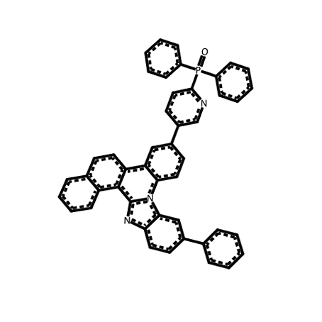 O=P(c1ccccc1)(c1ccccc1)c1ccc(-c2ccc3c(c2)c2ccc4ccccc4c2c2nc4ccc(-c5ccccc5)cc4n32)cn1